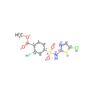 COC(=O)c1ccc(S(=O)(=O)Nc2ncc(Cl)s2)cc1F